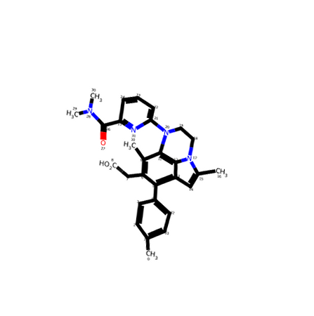 Cc1ccc(-c2c(CC(=O)O)c(C)c3c4c2cc(C)n4CCN3c2cccc(C(=O)N(C)C)n2)cc1